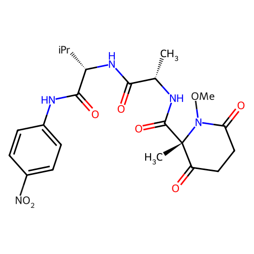 CON1C(=O)CCC(=O)[C@]1(C)C(=O)N[C@@H](C)C(=O)N[C@H](C(=O)Nc1ccc([N+](=O)[O-])cc1)C(C)C